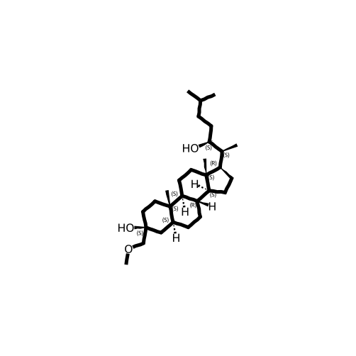 COC[C@]1(O)CC[C@@]2(C)[C@@H](CC[C@@H]3[C@@H]2CC[C@]2(C)[C@@H]([C@H](C)[C@@H](O)CCC(C)C)CC[C@@H]32)C1